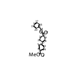 COC(=O)c1ccc(C2=CCC(C(=O)OCc3ccccc3)CC2)cc1